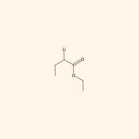 [Li][CH](CC)C(=O)OCC